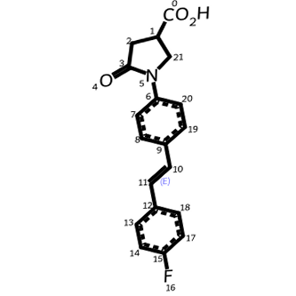 O=C(O)C1CC(=O)N(c2ccc(/C=C/c3ccc(F)cc3)cc2)C1